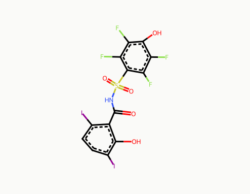 O=C(NS(=O)(=O)c1c(F)c(F)c(O)c(F)c1F)c1c(I)ccc(I)c1O